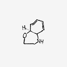 C1=CC2NCCO[C@H]2C=C1